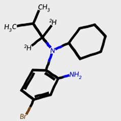 [2H]C([2H])(C(C)C)N(c1ccc(Br)cc1N)C1CCCCC1